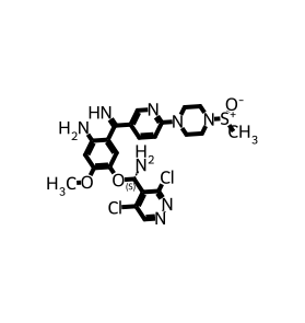 COc1cc(N)c(C(=N)c2ccc(N3CCN([S+](C)[O-])CC3)nc2)cc1O[C@H](N)c1c(Cl)cnnc1Cl